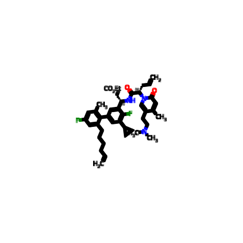 C=CCCCCc1cc(F)cc(C)c1-c1cc(C2CC2)c(F)c([C@H](CC(=O)OCC)NC(=O)[C@H](CC=C)n2cc(CCN(C)C)c(C)cc2=O)c1